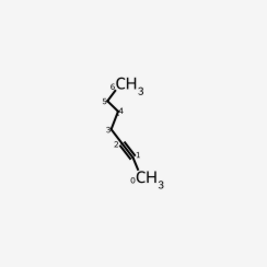 CC#CC[CH]CC